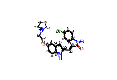 O=C1Nc2ccc(Br)cc2/C1=C\c1cc2cc(OCCN3CCCC3)ccc2[nH]1